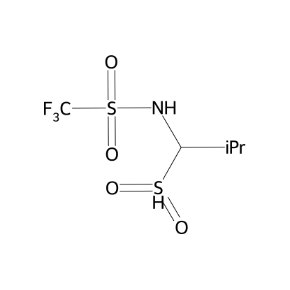 CC(C)C(NS(=O)(=O)C(F)(F)F)[SH](=O)=O